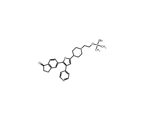 CC(C)(C)[Si](C)(C)OCCN1CCC(c2cc(-c3ccncc3)c(-c3ccc4c(c3)CCC4=O)o2)CC1